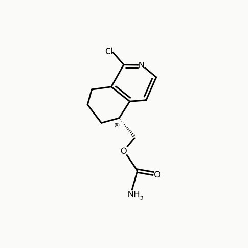 NC(=O)OC[C@@H]1CCCc2c1ccnc2Cl